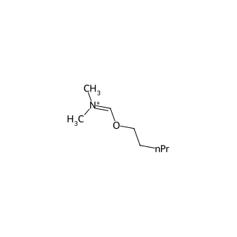 CCCCCOC=[N+](C)C